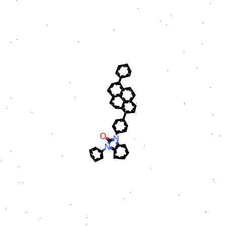 O=c1n(-c2ccccc2)c2ccccc2n1-c1ccc(-c2ccc3ccc4c(-c5ccccc5)ccc5ccc2c3c54)cc1